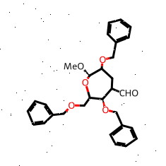 CO[C@@H]1OC(COCc2ccccc2)[C@H](OCc2ccccc2)C(C=O)CC1OCc1ccccc1